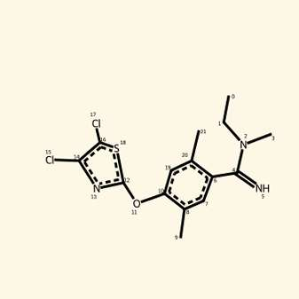 CCN(C)C(=N)c1cc(C)c(Oc2nc(Cl)c(Cl)s2)cc1C